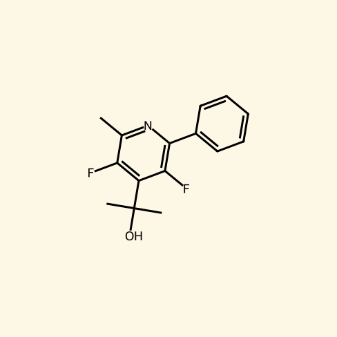 Cc1nc(-c2ccccc2)c(F)c(C(C)(C)O)c1F